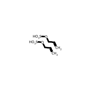 C=CCOS(=O)(=O)O.C=CCOS(=O)(=O)O